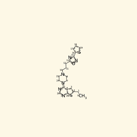 CCc1cc2c(N3CCN(CCCc4nc(-c5cccs5)no4)CC3)ncnc2s1